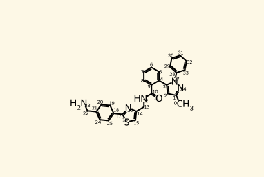 Cc1cc(-c2ccccc2C(=O)NCc2csc(-c3ccc(CN)cc3)n2)n(-c2ccccc2)n1